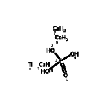 O=P(O)(O)O.[CaH2].[CaH2].[CaH2].[Ti]